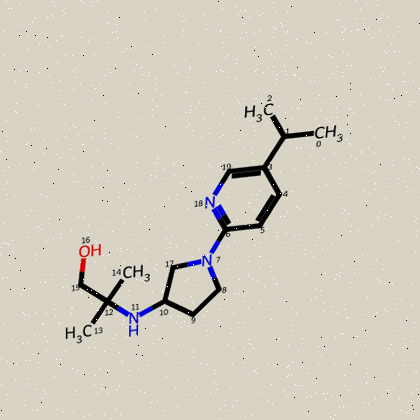 CC(C)c1ccc(N2CCC(NC(C)(C)CO)C2)nc1